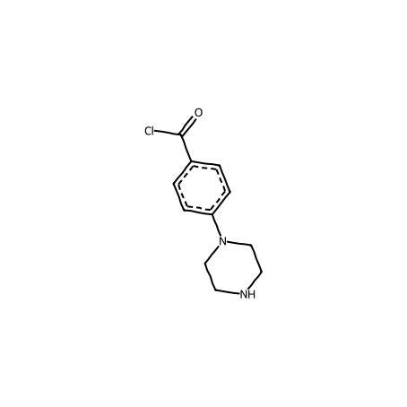 O=C(Cl)c1ccc(N2CCNCC2)cc1